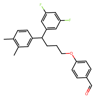 Cc1ccc(C(CCCOc2ccc(C=O)cc2)c2cc(F)cc(F)c2)cc1C